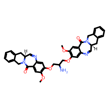 COc1cc2c(cc1OCC(N)COc1cc3c(cc1OC)C(=O)N1Cc4ccccc4C[C@H]1C=N3)N=C[C@@H]1Cc3ccccc3CN1C2=O